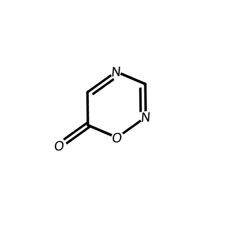 O=c1cncno1